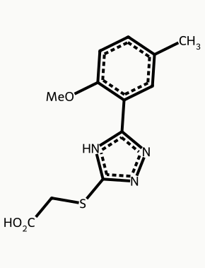 COc1ccc(C)cc1-c1nnc(SCC(=O)O)[nH]1